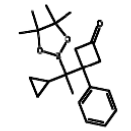 CC1(C)OB(C(C)(C2CC2)C2(c3ccccc3)CC(=O)C2)OC1(C)C